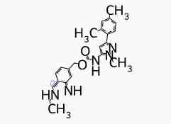 CCN/C=C1/C=CC(COC(=O)Nc2cc(-c3ccc(C)cc3C)nn2C)=CC1=N